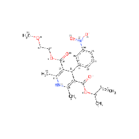 C=CC(C)OC(=O)C1=C(C)NC(C)=C(C(=O)OCCOC)C1c1cccc([N+](=O)[O-])c1